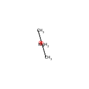 CCCCCCCCCCCCCCCC(=O)OC(=O)CCCCCCCCCCCCC.[MgH2]